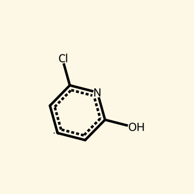 Oc1c[c]cc(Cl)n1